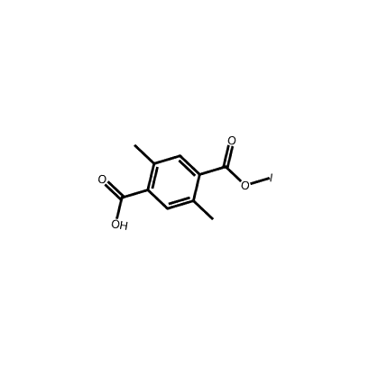 Cc1cc(C(=O)OI)c(C)cc1C(=O)O